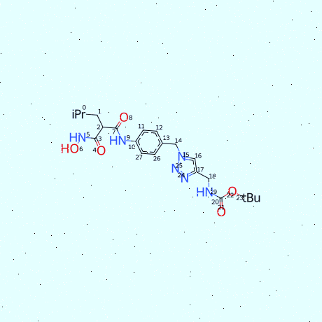 CC(C)CC(C(=O)NO)C(=O)Nc1ccc(Cn2cc(CNC(=O)OC(C)(C)C)nn2)cc1